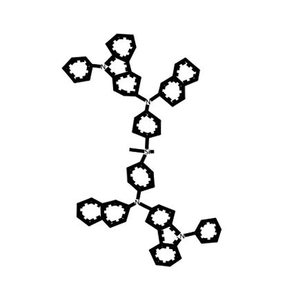 C[Si](C)(c1ccc(N(c2ccc3ccccc3c2)c2ccc3c(c2)c2ccccc2n3-c2ccccc2)cc1)c1ccc(N(c2ccc3ccccc3c2)c2ccc3c(c2)c2ccccc2n3-c2ccccc2)cc1